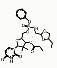 CCC(=O)OC1C(COP(=O)(N[C@@H](C)C2OCC(CC)O2)Oc2ccccc2)OC(n2ccc(=O)[nH]c2=O)C1(C)F